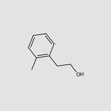 Cc1ccc[c]c1CCO